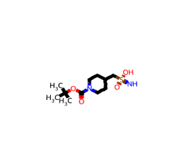 CC(C)(C)OC(=O)N1CCC(CS(=N)(=O)O)CC1